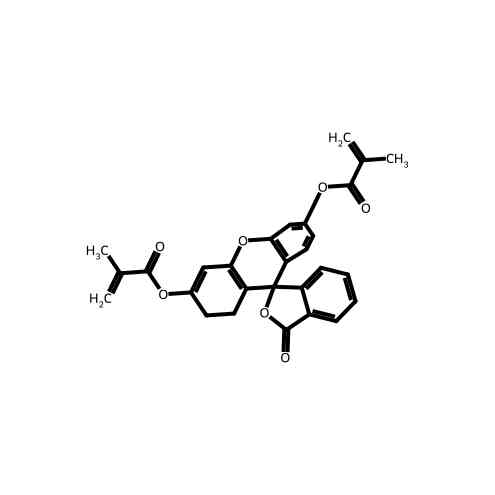 C=C(C)C(=O)OC1=CC2=C(CC1)C1(OC(=O)c3ccccc31)c1ccc(OC(=O)C(=C)C)cc1O2